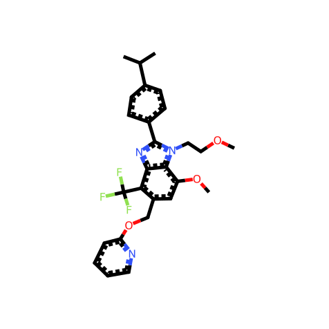 COCCn1c(-c2ccc(C(C)C)cc2)nc2c(C(F)(F)F)c(COc3ccccn3)cc(OC)c21